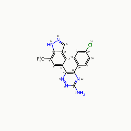 Nc1nnc(-c2cc(C(F)(F)F)c3[nH]ncc3c2)c(-c2ccc(Cl)cc2)n1